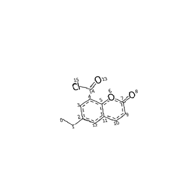 CCc1ccc2oc(=O)ccc2c1.O=CCl